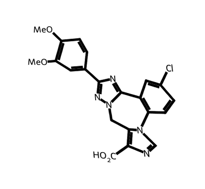 COc1ccc(-c2nc3n(n2)Cc2c(C(=O)O)ncn2-c2ccc(Cl)cc2-3)cc1OC